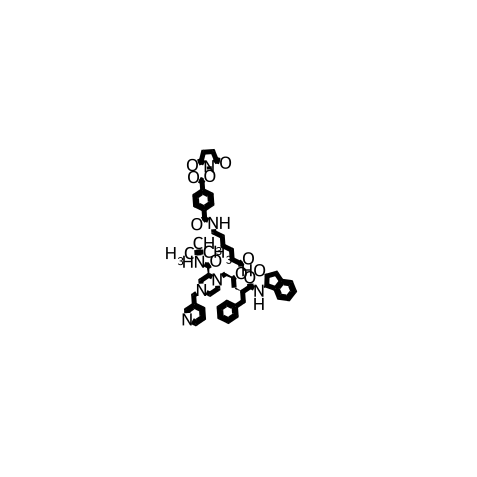 CC(C)(C)NC(=O)[C@@H]1CN(Cc2cccnc2)CCN1C[C@H](C[C@@H](Cc1ccccc1)C(=O)N[C@H]1c2ccccc2C[C@H]1O)OC(=O)CCCCCNC(=O)c1ccc(C(=O)ON2C(=O)CCC2=O)cc1